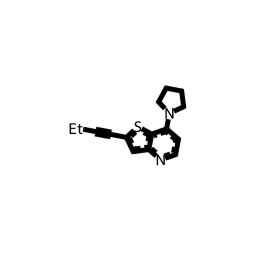 CCC#Cc1cc2nccc(N3CCCC3)c2s1